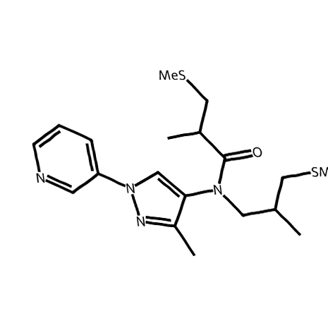 CSCC(C)CN(C(=O)C(C)CSC)c1cn(-c2cccnc2)nc1C